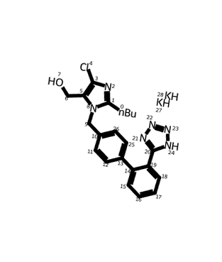 CCCCc1nc(Cl)c(CO)n1Cc1ccc(-c2ccccc2-c2nnn[nH]2)cc1.[KH].[KH]